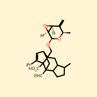 C=C1[C@@H](C)O[C@@H](OCC23CC4C(C)CCC4C4(C=O)CC2C=C(C(C)C)C43C(=O)O)[C@H]2O[C@@H]12